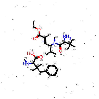 CCOC(=O)/C(C)=C/[C@H](C(C)C)N(C)C(=O)[C@@H](N)C(C)(C)C.CNC(C(=O)O)C(C)(C)Cc1ccccc1